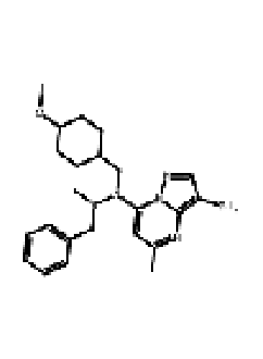 Bc1cnn2c(N(CC3CCC(OI)CC3)B(C)Cc3ccccc3)cc(C)nc12